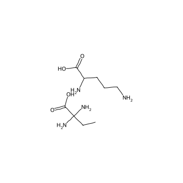 CCC(N)(N)C(=O)O.NCCCC(N)C(=O)O